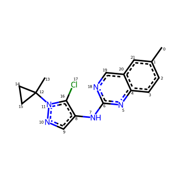 Cc1ccc2nc(Nc3cnn(C4(C)CC4)c3Cl)ncc2c1